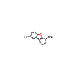 CC(C)c1ccc2oc3c(C(C)(C)C)cccc3c2c1